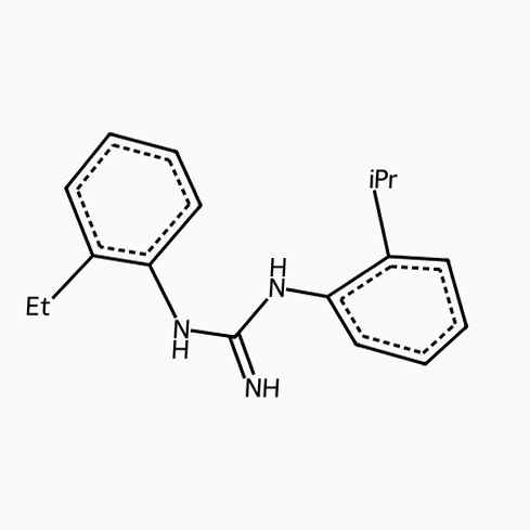 CCc1ccccc1NC(=N)Nc1ccccc1C(C)C